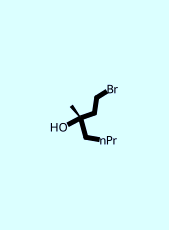 CCCC[C@](C)(O)CCBr